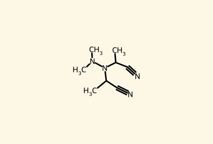 CC(C#N)N(C(C)C#N)N(C)C